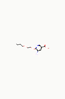 CCCCOCCOc1ncc(C(=O)OC)cc1[N+](=O)[O-]